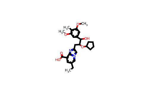 CCc1cc(C(=O)O)c2nc(CC(OC3CCCC3)C(O)c3cc(OC)c(C)c(OC)c3)cn2c1